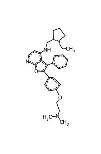 CCN1CCCC1CNc1ccnc2oc(-c3ccc(OCCN(C)C)cc3)c(-c3ccccc3)c12